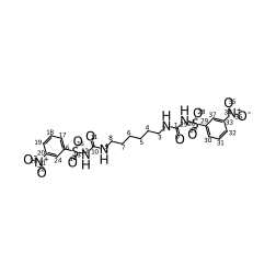 O=C(NCCCCCCNC(=O)NS(=O)(=O)c1cccc([N+](=O)[O-])c1)NS(=O)(=O)c1cccc([N+](=O)[O-])c1